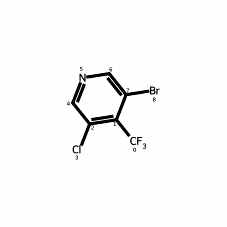 FC(F)(F)c1c(Cl)cncc1Br